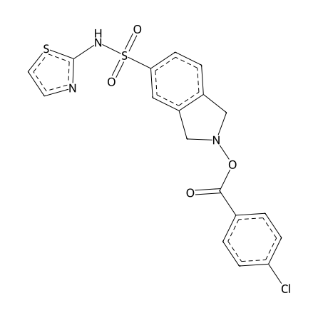 O=C(ON1Cc2ccc(S(=O)(=O)Nc3nccs3)cc2C1)c1ccc(Cl)cc1